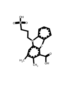 Cc1cc2c(c(C(=O)O)c1C)Cc1ccccc1N2CCCS(=O)(=O)O